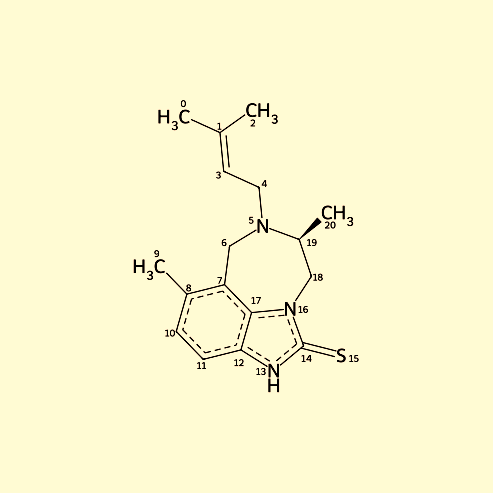 CC(C)=CCN1Cc2c(C)ccc3[nH]c(=S)n(c23)C[C@@H]1C